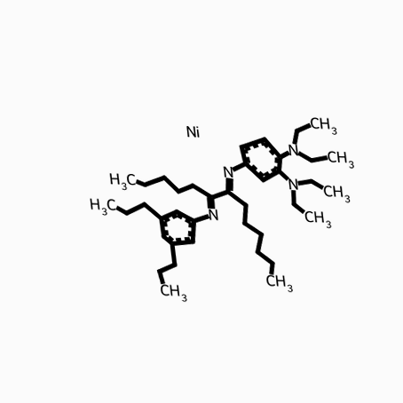 CCCCCCC(=Nc1ccc(N(CC)CC)c(N(CC)CC)c1)C(CCCCC)=Nc1cc(CCC)cc(CCC)c1.[Ni]